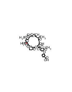 CCC1/C=C(\C)CC(C)CC(OC)C2OC(O)(C(=O)C(=O)N3CCCCC3C(=O)OC(C(C)=CC3CCC(Oc4cccc(C(=O)O)c4)C(OC)C3)C(C)C(O)CC1=O)C(C)CC2OC